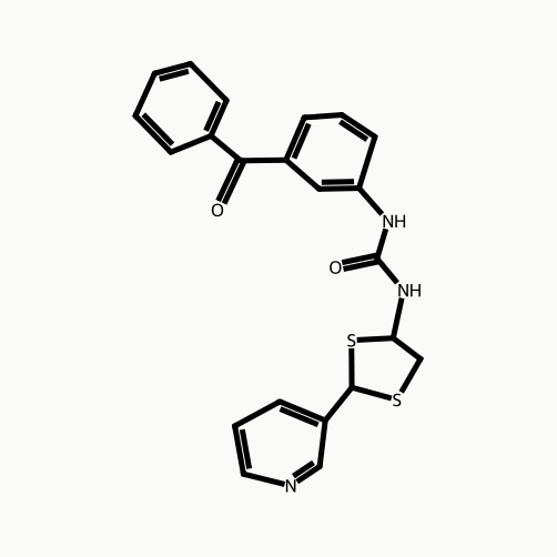 O=C(Nc1cccc(C(=O)c2ccccc2)c1)NC1CSC(c2cccnc2)S1